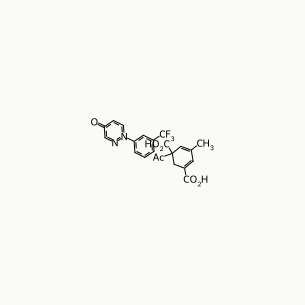 CC(=O)C1(C(=O)O)C=C(C)C=C(C(=O)O)C1.O=c1ccn(-c2cccc(C(F)(F)F)c2)nc1